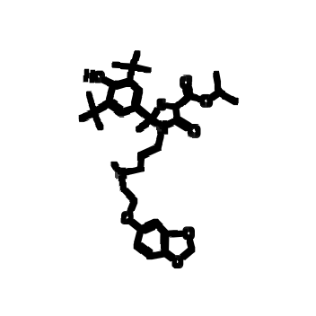 CC(C)OC(=O)C1SC(C)(c2cc(C(C)(C)C)c(O)c(C(C)(C)C)c2)N(CCCN(C)CCOc2ccc3c(c2)OCO3)C1=O